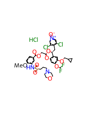 COc1ccc(C(=O)OCC(=O)O[C@@H](Cc2c(Cl)c[n+]([O-])cc2Cl)c2ccc(OC(F)F)c(OCC3CC3)c2)cc1NS(=O)(=O)CCCN1CCOCC1.Cl